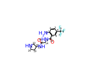 Nc1ccc(C(F)(F)F)cc1C(=O)NCC(=O)NC1CCNC1